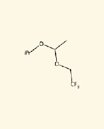 CC(C)OC(C)OCC(F)(F)F